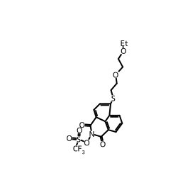 CCOCCOCCSc1ccc2c3c(cccc13)C(=O)N(OS(=O)(=O)C(F)(F)F)C2=O